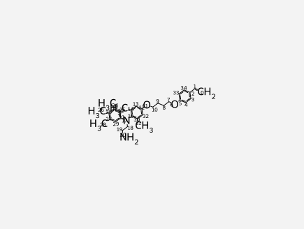 C=Cc1ccc(OCCCCOc2cc(C)c(N(CCN)c3cc(C)c(C)c(C)c3)c(C)c2)cc1